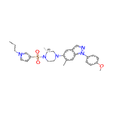 CCCn1ccc(S(=O)(=O)N2CCN(c3cc4cnn(-c5ccc(OC)cc5)c4cc3C)C[C@H]2C)c1